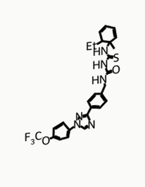 CCC1C=CC=CC1(C)NC(=S)NC(=O)NCc1ccc(-c2ncn(-c3ccc(OC(F)(F)F)cc3)n2)cc1